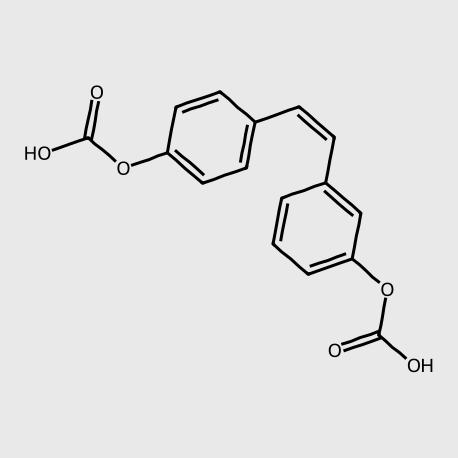 O=C(O)Oc1ccc(/C=C\c2cccc(OC(=O)O)c2)cc1